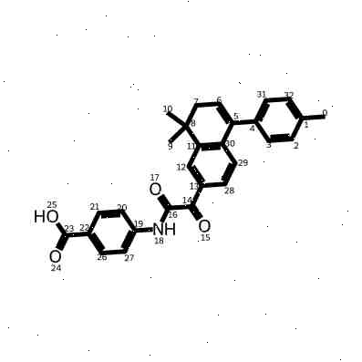 Cc1ccc(C2=CCC(C)(C)c3cc(C(=O)C(=O)Nc4ccc(C(=O)O)cc4)ccc32)cc1